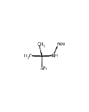 CCCCNC(C)(C)CCC